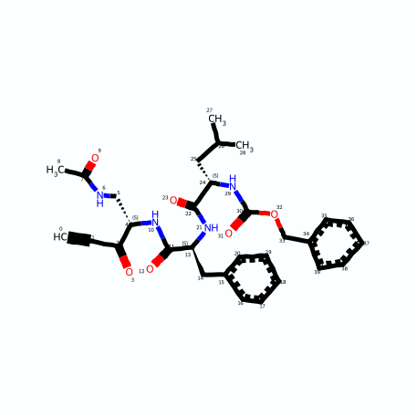 C#CC(=O)[C@H](CNC(C)=O)NC(=O)[C@H](Cc1ccccc1)NC(=O)[C@H](CC(C)C)NC(=O)OCc1ccccc1